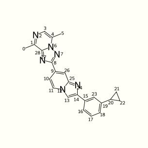 Cc1ncc(C)n2nc(-c3ccn4cc(-c5cccc(C6CC6)c5)nc4c3)nc12